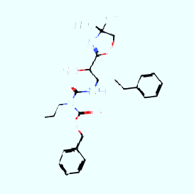 CC(C)CCN(C(=O)N[C@@H](CCc1ccccc1)C(O)C1=NC(C)(C)CO1)C(=O)OCc1ccccc1